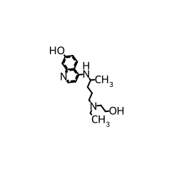 CCN(CCO)CCCC(C)Nc1ccnc2cc(O)ccc12